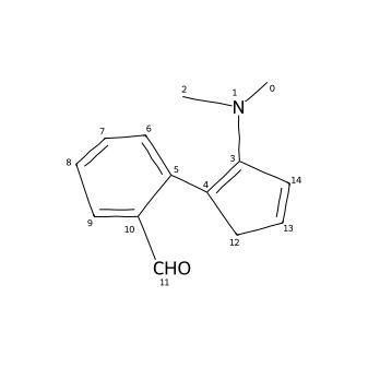 CN(C)C1=C(c2ccccc2C=O)CC=C1